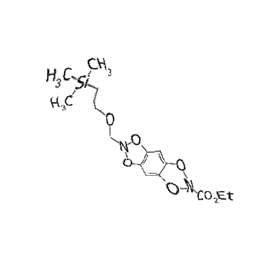 CCOC(=O)n1oc2cc3on(COCC[Si](C)(C)C)oc3cc2o1